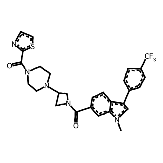 Cn1cc(-c2ccc(C(F)(F)F)cc2)c2ccc(C(=O)N3CC(N4CCN(C(=O)c5nccs5)CC4)C3)cc21